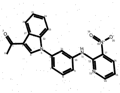 CC(=O)c1cn(-c2cccc(Nc3ncccc3[N+](=O)[O-])c2)c2ccccc12